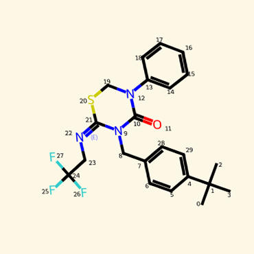 CC(C)(C)c1ccc(CN2C(=O)N(c3ccccc3)CS/C2=N/CC(F)(F)F)cc1